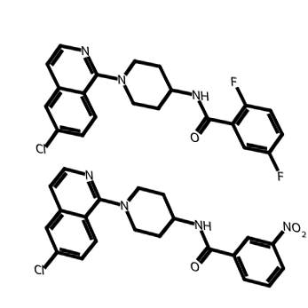 O=C(NC1CCN(c2nccc3cc(Cl)ccc23)CC1)c1cc(F)ccc1F.O=C(NC1CCN(c2nccc3cc(Cl)ccc23)CC1)c1cccc([N+](=O)[O-])c1